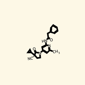 Cc1cc(N2CC[C@@](C#N)(C3CC3)C2=O)cc(NC(=O)Cc2[c]cccc2)n1